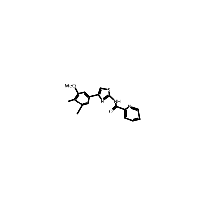 COc1cc(-c2csc(NC(=O)c3ccccn3)n2)cc(C)c1C